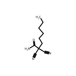 CCCCCCC(C#N)(C#N)C(N)=O